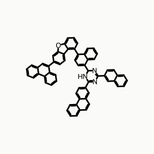 c1ccc2cc(C3=NC(c4ccc(-c5cccc6oc7cc(-c8cc9ccccc9c9ccccc89)ccc7c56)c5ccccc45)NC(c4ccc5c(ccc6ccccc65)c4)=N3)ccc2c1